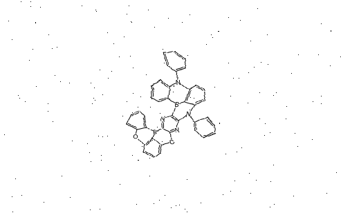 c1ccc(N2c3ccccc3B3c4nc5c(nc4N(c4ccccc4)c4cccc2c43)Oc2cccc3c2B5c2ccccc2O3)cc1